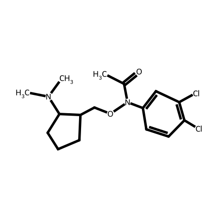 CC(=O)N(OCC1CCCC1N(C)C)c1ccc(Cl)c(Cl)c1